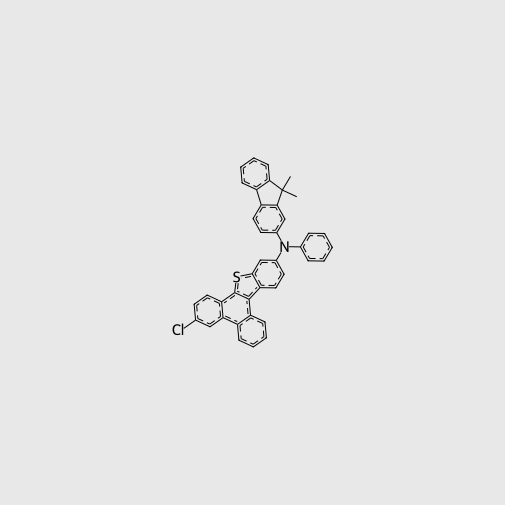 CC1(C)c2ccccc2-c2ccc(N(c3ccccc3)c3ccc4c(c3)sc3c5ccc(Cl)cc5c5ccccc5c43)cc21